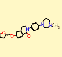 CN1CCCN(c2ccc(N3CCc4cc(OC[C@H]5CCCO5)ccc4C3=O)cc2)CC1